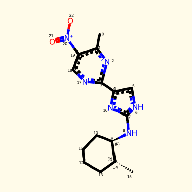 Cc1nc(-c2c[nH]c(N[C@@H]3CCCC[C@H]3C)n2)ncc1[N+](=O)[O-]